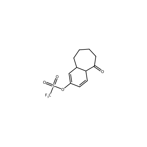 O=C1CCCCC2C=C(OS(=O)(=O)C(F)(F)F)C=CC12